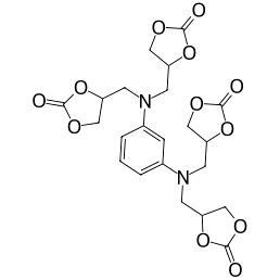 O=C1OCC(CN(CC2COC(=O)O2)c2cccc(N(CC3COC(=O)O3)CC3COC(=O)O3)c2)O1